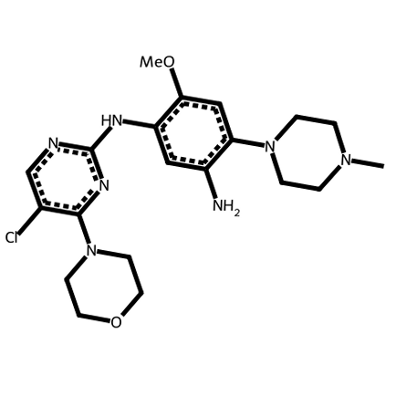 COc1cc(N2CCN(C)CC2)c(N)cc1Nc1ncc(Cl)c(N2CCOCC2)n1